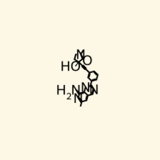 Cc1cc2cnc(-c3cccc(C#C[C@]4(O)CCN(C)C4=O)c3)nc2c(N)n1